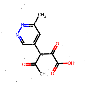 CC(=O)C(C(=O)C(=O)O)c1cnnc(C)c1